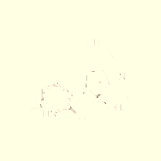 N[C@@]1(O)[C@@H](CO)O[C@@H](n2ccc(=O)[nH]c2=O)[C@@]1(O)F